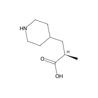 C[C@H](CC1CCNCC1)C(=O)O